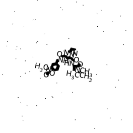 Cn1c(=O)oc2ccc(CNC(=O)c3cc(C(=O)N[C@H]4CN(C(C)(C)C)C4=O)n4nccc4n3)cc21